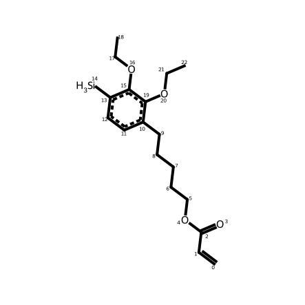 C=CC(=O)OCCCCCc1ccc([SiH3])c(OCC)c1OCC